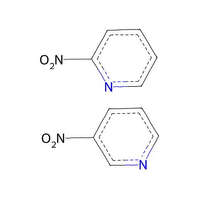 O=[N+]([O-])c1ccccn1.O=[N+]([O-])c1cccnc1